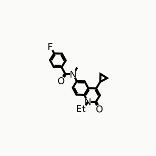 CCn1c(=O)cc(C2CC2)c2cc(N(C)C(=O)c3ccc(F)cc3)ccc21